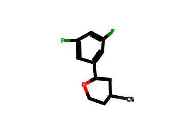 N#CC1CCOC(c2cc(F)cc(F)c2)C1